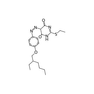 CCCCC(CC)COc1ccc(/N=N\C2C(=O)N=C(SCC)NC2=O)cc1